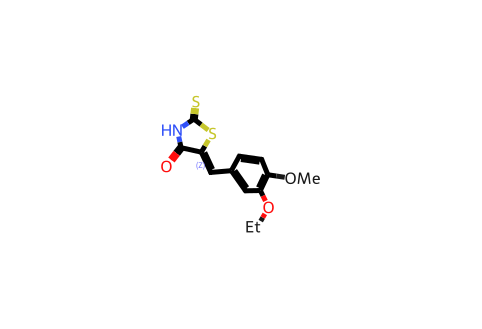 CCOc1cc(/C=C2\SC(=S)NC2=O)ccc1OC